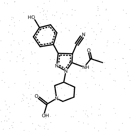 CC(=O)Nc1c(C#N)c(-c2ccc(O)cc2)nn1C1CCCN(C(=O)O)C1